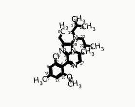 CCc1nc2c(-c3c(Cl)cc(C)cc3OC)nccn2c1N(CC(C)C)CC(C)C